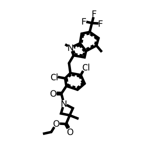 CCOC(=O)C1(C)CN(C(=O)c2ccc(Cl)c(Cc3cc4c(C)cc(C(F)(F)F)cc4n3C)c2Cl)C1